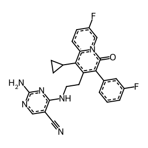 N#Cc1cnc(N)nc1NCCc1c(-c2cccc(F)c2)c(=O)n2cc(F)ccc2c1C1CC1